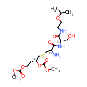 COC(=O)OCC[C@H](CSC[C@H](N)C(=O)N[C@@H](CO)C(=O)NCCOC(C)C)OC(=O)OC